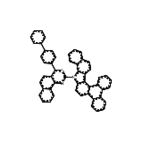 c1ccc(-c2ccc(-c3nc(-n4c5ccc6c7ccccc7c7ccccc7c6c5c5ccc6ccccc6c54)nc4c3ccc3ccccc34)cc2)cc1